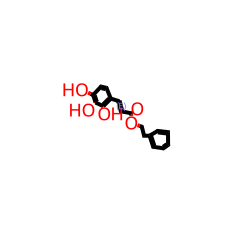 O=C(/C=C/c1ccc(O)c(O)c1O)OCCc1ccccc1